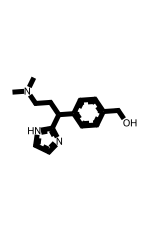 CN(C)CCC(c1ccc(CO)cc1)c1ncc[nH]1